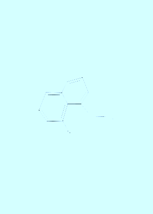 Nc1cccc2cccc(OC(F)(F)F)c12